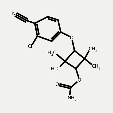 CC1(C)C(OC(N)=O)C(C)(C)C1Oc1ccc(C#N)c(Cl)c1